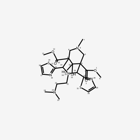 COC(=O)C12CN(C)CC(C(=O)OC)(C(c3nccs3)N(CCN(C)C)C1c1nccs1)C2(O)O